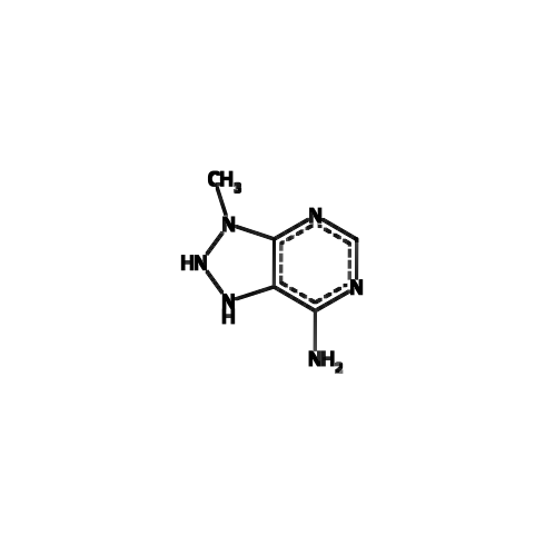 CN1NNc2c(N)ncnc21